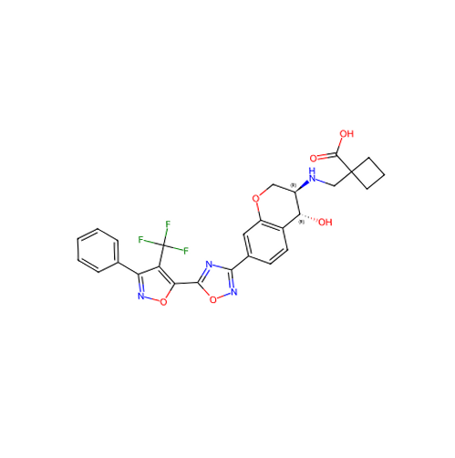 O=C(O)C1(CN[C@@H]2COc3cc(-c4noc(-c5onc(-c6ccccc6)c5C(F)(F)F)n4)ccc3[C@H]2O)CCC1